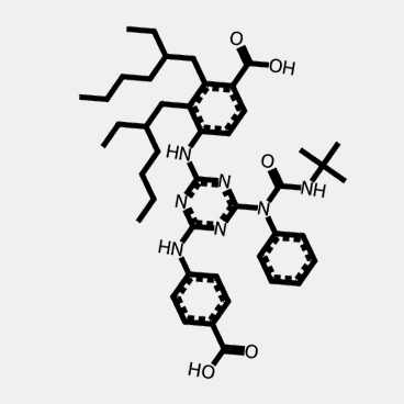 CCCCC(CC)Cc1c(Nc2nc(Nc3ccc(C(=O)O)cc3)nc(N(C(=O)NC(C)(C)C)c3ccccc3)n2)ccc(C(=O)O)c1CC(CC)CCCC